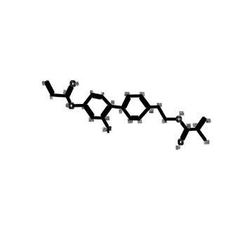 C=CC(=O)Oc1ccc(-c2ccc(CCOC(=O)C(=C)C)cc2)c(F)c1